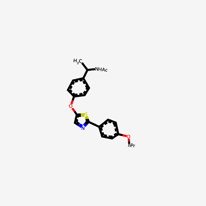 CCCOc1ccc(-c2ncc(Oc3ccc(C(C)NC(C)=O)cc3)s2)cc1